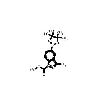 CC(C)(C)OC(=O)n1nc(C(F)(F)F)c2cc(B3OC(C)(C)C(C)(C)O3)ccc21